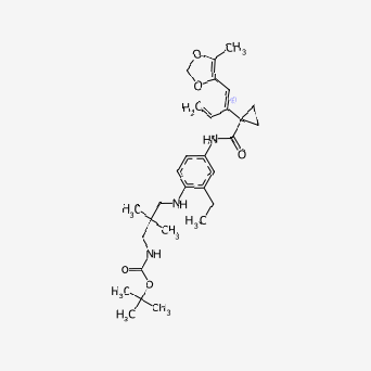 C=C/C(=C\C1=C(C)OCO1)C1(C(=O)Nc2ccc(NCC(C)(C)CNC(=O)OC(C)(C)C)c(CC)c2)CC1